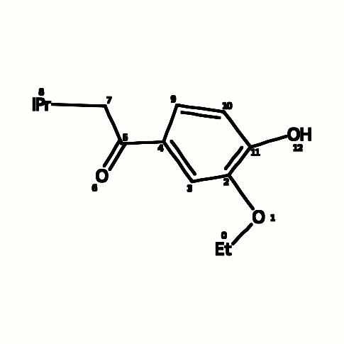 CCOc1cc(C(=O)CC(C)C)ccc1O